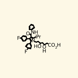 CC(C)c1c(C(=O)Nc2ccccc2)c(-c2ccc(F)cc2)c(-c2ccc(F)cc2)n1CCC(O)CC(O)CC(=O)O